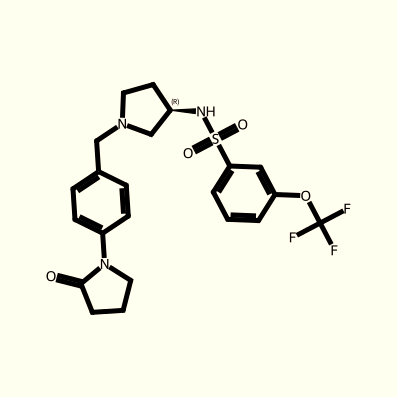 O=C1CCCN1c1ccc(CN2CC[C@@H](NS(=O)(=O)c3cccc(OC(F)(F)F)c3)C2)cc1